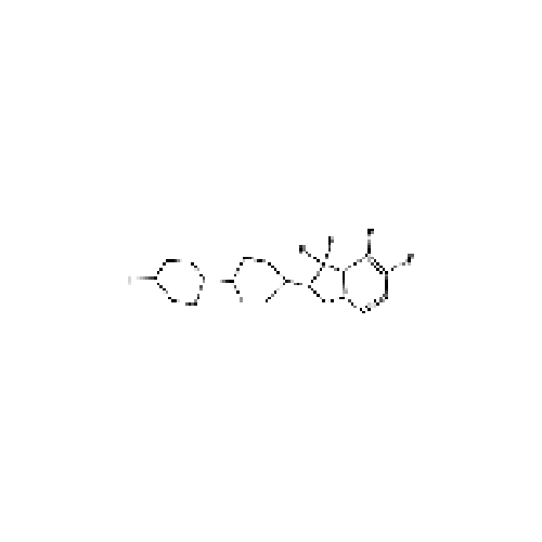 Fc1ccc2c(c1F)C(F)(F)C(C1CCC(C3CCC(I)CC3)CC1)C2